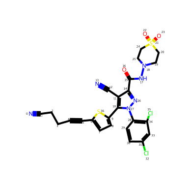 N#CCCC#Cc1ccc(-c2c(C#N)c(C(=O)NN3CCS(=O)(=O)CC3)nn2-c2ccc(Cl)cc2Cl)s1